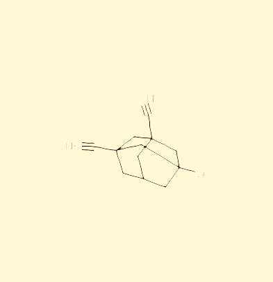 C#CC12CC3CC(Br)(C1)CC(C#C)(C3)C2